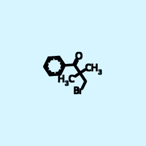 CC(C)(CBr)C(=O)c1ccccc1